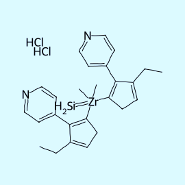 CCC1=CC[C]([Zr]([CH3])([CH3])(=[SiH2])[C]2=C(c3ccncc3)C(CC)=CC2)=C1c1ccncc1.Cl.Cl